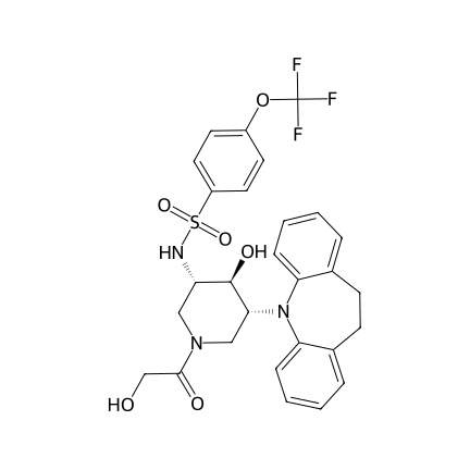 O=C(CO)N1C[C@H](NS(=O)(=O)c2ccc(OC(F)(F)F)cc2)[C@@H](O)[C@H](N2c3ccccc3CCc3ccccc32)C1